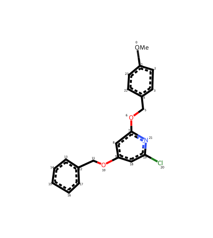 COc1ccc(COc2cc(OCc3ccccc3)cc(Cl)n2)cc1